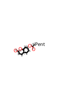 CCCC(C)C(=O)Oc1ccc2ccc(=O)oc2c1